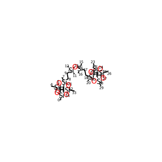 C[SiH]1O[SiH](C)O[Si](C)(CC[Si](C)(C)O[Si](C)(C)CC[Si]2(C)O[SiH](C)O[SiH](C)O[SiH](C)O2)O[SiH](C)O1